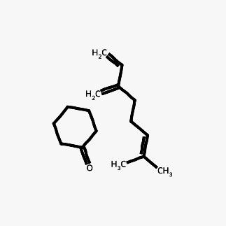 C=CC(=C)CCC=C(C)C.O=C1CCCCC1